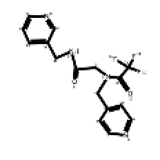 O=C(CN(Cc1ccncc1)C(=O)C(F)(F)F)NCc1cccnc1